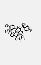 C=Cc1c(NC(=C)c2ccc(N)s2)nc(-c2ccc(Cl)c(F)c2)nc1N(C)c1ccc(F)cc1